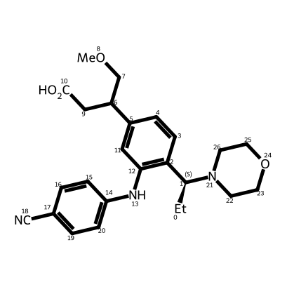 CC[C@@H](c1ccc(C(COC)CC(=O)O)cc1Nc1ccc(C#N)cc1)N1CCOCC1